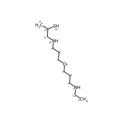 CSNCCCOCCCNCC(C)S